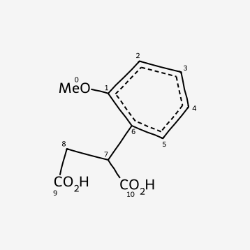 COc1ccccc1C(CC(=O)O)C(=O)O